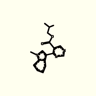 CC(C)COC(=O)c1cncnc1-c1cn(C)c2ccccc12